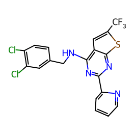 FC(F)(F)c1cc2c(NCc3ccc(Cl)c(Cl)c3)nc(-c3ccccn3)nc2s1